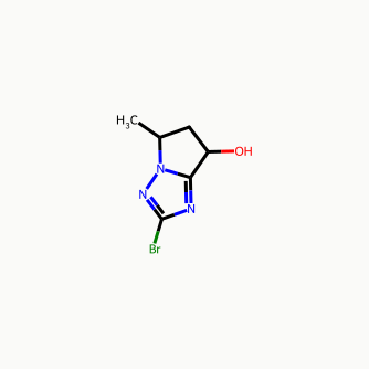 CC1CC(O)c2nc(Br)nn21